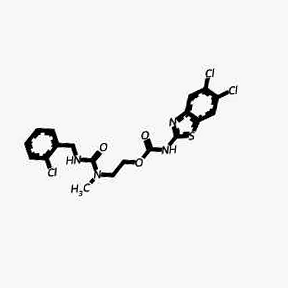 CN(CCOC(=O)Nc1nc2cc(Cl)c(Cl)cc2s1)C(=O)NCc1ccccc1Cl